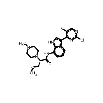 COC[C@H](C(=O)Nc1cccc2c(-c3nc(Cl)ncc3F)c[nH]c12)N1CCN(C)CC1